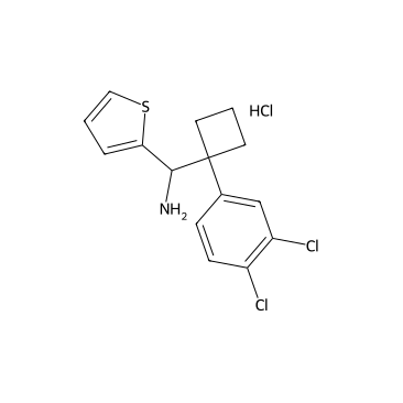 Cl.NC(c1cccs1)C1(c2ccc(Cl)c(Cl)c2)CCC1